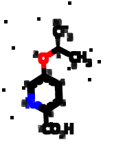 C[C@H](Oc1ccc(C(=O)O)nc1)C(F)(F)F